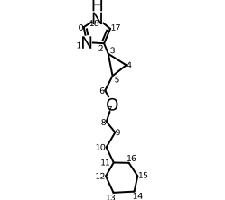 c1nc(C2CC2COCCCC2CCCCC2)c[nH]1